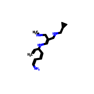 C=CC(/C=C\C=C/N)N/C=C(\CNC)CNCC1CC1